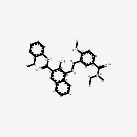 CCc1ccccc1NC(=O)c1cc2ccccc2c(/N=N/c2cc(C(=O)N(C)CC)ccc2OC)c1O